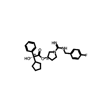 N=C(NCc1ccc(F)cc1)N1CC[C@@H](OC(=O)[C@](O)(c2ccccc2)C2CCCC2)C1